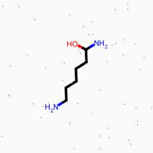 NCCCCCC(N)O